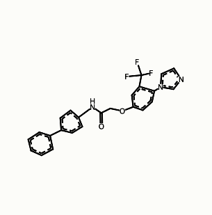 O=C(COc1ccc(-n2ccnc2)c(C(F)(F)F)c1)Nc1ccc(-c2ccccc2)cc1